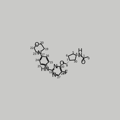 CC(=O)N[C@H]1CC[C@@H](COc2nc(Nc3ccc(N4CCOCC4)cc3)ncc2F)C1